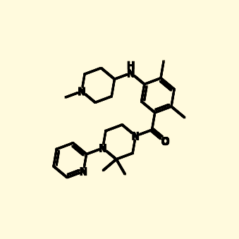 Cc1cc(C)c(C(=O)N2CCN(c3ccccn3)C(C)(C)C2)cc1NC1CCN(C)CC1